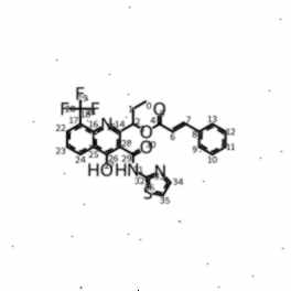 CCC(OC(=O)C=Cc1ccccc1)c1nc2c(C(F)(F)F)cccc2c(O)c1C(=O)Nc1nccs1